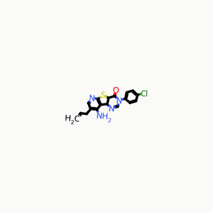 C=CCc1cnc2c(c1N)C1N=CN(c3ccc(Cl)cc3)C(=O)C1S2